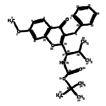 COc1ccc2c(=O)c(Cc3ccccc3)c([C@H](NC(=O)OC(C)(C)C)C(C)C)oc2c1